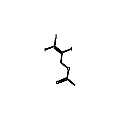 CC(=O)OCC(I)=C(I)I